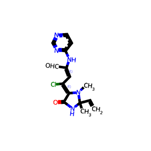 C=CC1(C)NC(=O)/C(=C(Cl)/C=C(\C=O)Nc2ccncn2)N1C